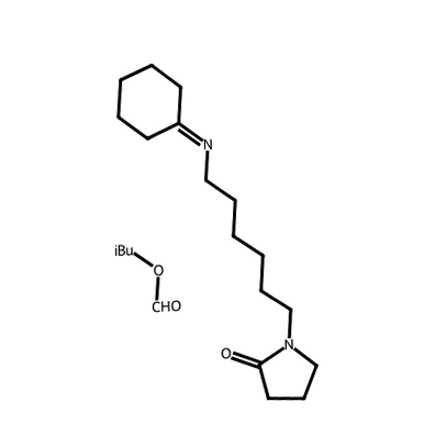 CCC(C)OC=O.O=C1CCCN1CCCCCCN=C1CCCCC1